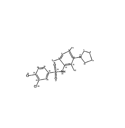 Cc1cc(C)c(N2CCCC2)c(C)c1NS(=O)(=O)c1ccc(Cl)c(Cl)c1